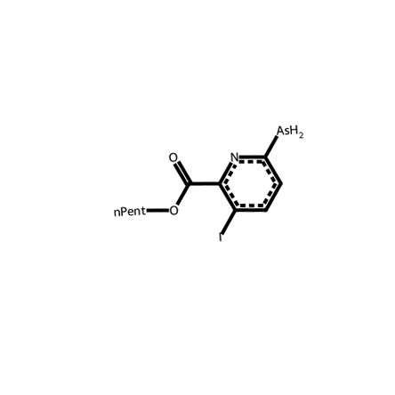 CCCCCOC(=O)c1nc([AsH2])ccc1I